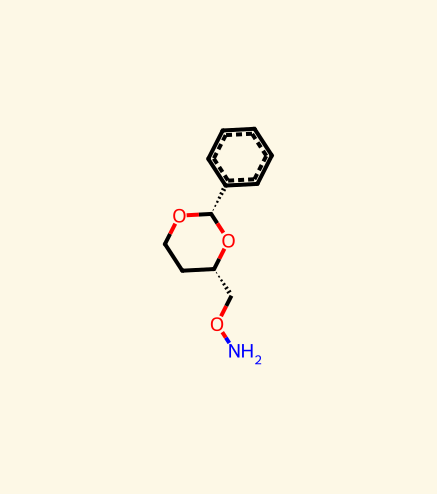 NOC[C@@H]1CCO[C@H](c2ccccc2)O1